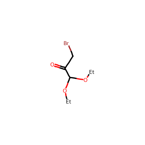 CCOC(OCC)C(=O)CBr